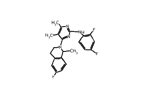 Cc1nc(Nc2ccc(F)cc2F)nc(N2CCc3cc(F)ccc3C2C)c1C